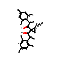 Cc1cc(C)c(C(C)C(=O)C2(C(=O)C(C)c3c(C)cc(C)cc3C)CC2C(=O)O)c(C)c1